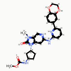 COC(=O)N[C@@H]1CC[C@@H](n2c(=O)n(C)c3cnc(Nc4cccc(-c5ccc6c(c5)OCCO6)n4)cc32)C1